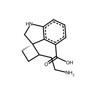 NCCC1CC[C@@]12CNc1cccc(C(=O)O)c12